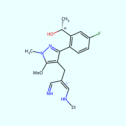 CCN/C=C(\C=N)Cc1c(-c2ccc(F)cc2[C@@H](C)O)nn(C)c1OC